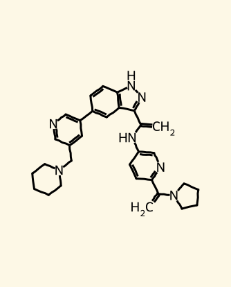 C=C(Nc1ccc(C(=C)N2CCCC2)nc1)c1n[nH]c2ccc(-c3cncc(CN4CCCCC4)c3)cc12